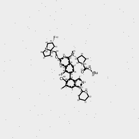 Cc1cc2c(cnn2C2CCCCO2)c(-c2ccc3c(N(C)[C@@H]4CCN(C(=O)OC(C)(C)C)C4)nc(OC[C@@]45CCCN4C[C@H](F)C5)nc3c2F)c1Cl